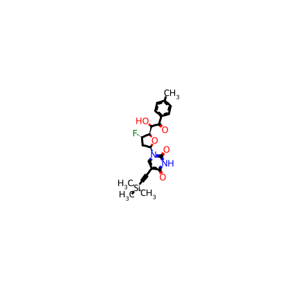 Cc1ccc(C(=O)C(O)[C@H]2O[C@@H](n3cc(C#C[Si](C)(C)C)c(=O)[nH]c3=O)C[C@@H]2F)cc1